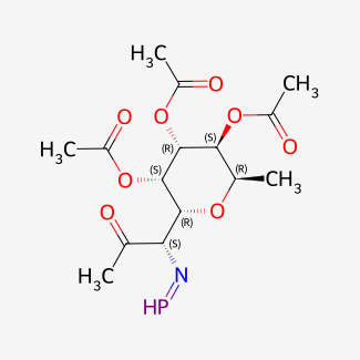 CC(=O)O[C@@H]1[C@H](OC(C)=O)[C@@H](OC(C)=O)[C@@H](C)O[C@@H]1[C@H](N=P)C(C)=O